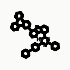 c1ccc(C2=NC(c3cccc4oc5c(-c6ccc7c8ccccc8c8ccccc8c7c6)cccc5c34)NC(c3ccc(-c4ccccc4)cc3)=N2)cc1